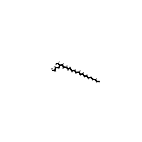 CCCCCCCCCCCCCCCCCCCC(CC)CCCC